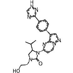 CC(C)C1CN(CCO)C(=O)N1c1ccn2ncc(-c3ccc(-c4nc[nH]n4)cc3)c2n1